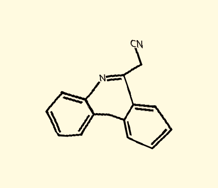 N#CCc1nc2ccccc2c2ccccc12